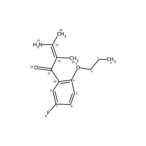 CCCOc1ccc(F)cc1C(=O)C(C)=C(C)N